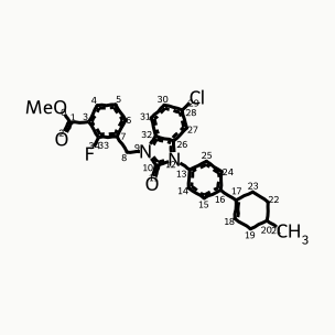 COC(=O)c1cccc(Cn2c(=O)n(-c3ccc(C4=CCC(C)CC4)cc3)c3cc(Cl)ccc32)c1F